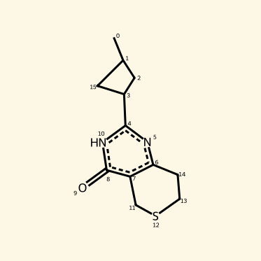 CC1CC(c2nc3c(c(=O)[nH]2)CSCC3)C1